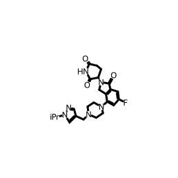 CC(C)n1cc(CN2CCN(c3cc(F)cc4c3CN(C3CCC(=O)NC3=O)C4=O)CC2)cn1